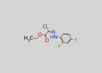 CCOC(=O)/C(Cl)=N\Nc1ccc(F)cc1F